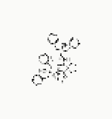 C[C@@H](NC(=O)C1(C(=O)N[C@H](C)C(O)(Cc2ccccc2)Cc2ccccc2)CCCC1)C(O)(Cc1ccccc1)Cc1ccccc1